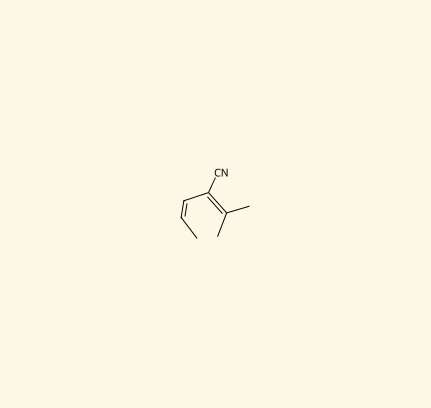 C/C=C\C(C#N)=C(C)C